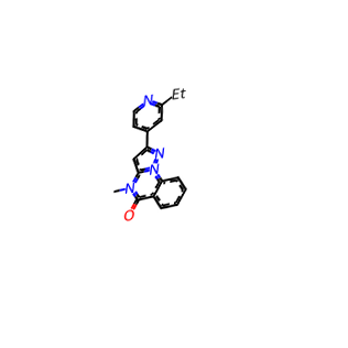 CCc1cc(-c2cc3n(C)c(=O)c4ccccc4n3n2)ccn1